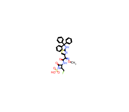 CO/N=C(\C(=O)NC1C(=O)N(S(=O)(=O)O)C1CF)c1csc(NC(c2ccccc2)(c2ccccc2)c2ccccc2)n1